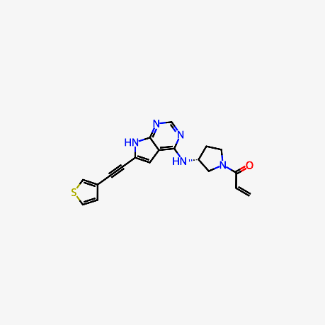 C=CC(=O)N1CC[C@@H](Nc2ncnc3[nH]c(C#Cc4ccsc4)cc23)C1